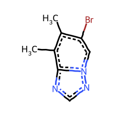 Cc1c(Br)cn2ncnc2c1C